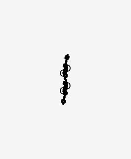 Cc1ccc(C#Cc2ccc3c(c2)oc2cc4c(cc23)oc2cc(/C=C/c3ccc5c(c3)oc3cc6c(cc35)oc3cc(C#Cc5ccc(C)cc5)ccc36)ccc24)cc1